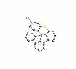 Clc1ccc2c(c1)Sc1cccc3c1C2(c1ccccc1)c1ccccc1-3